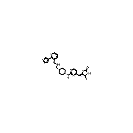 O=C1NC(=O)/C(=C/c2ccnc(N[C@H]3CC[C@H](CNCc4cccnc4-c4ccsc4)CC3)n2)S1